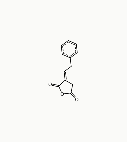 O=C1CC(=CCc2ccccc2)C(=O)O1